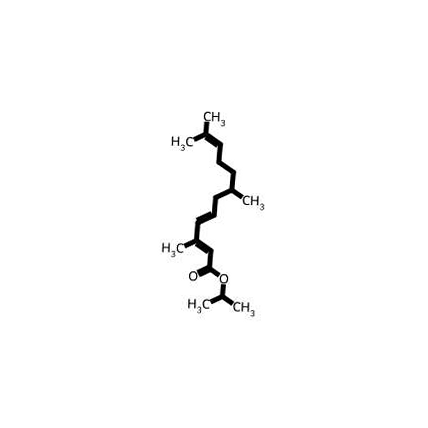 CC(C)=CCCC(C)CC=CC(C)=CC(=O)OC(C)C